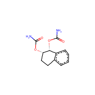 NC(=O)O[C@H]1CCc2ccccc2[C@H]1OC(N)=O